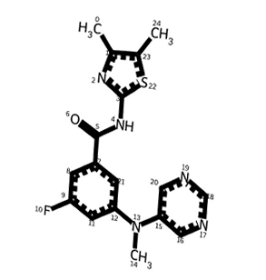 Cc1nc(NC(=O)c2cc(F)cc(N(C)c3cncnc3)c2)sc1C